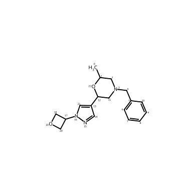 CC1CN(Cc2ccccc2)CC(c2cnn(C3COC3)c2)O1